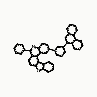 c1ccc(-c2nc3ccc(-c4cccc(-c5cc6ccccc6c6ccccc56)c4)cc3c3c2ccc2oc4ccccc4c23)cc1